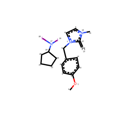 COc1ccc(Cn2ccn(C)[c]2=[Pt])cc1.IN(I)C1CCCC1